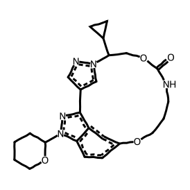 O=C1NCCCOc2ccc3c(c2)c(nn3C2CCCCO2)-c2cnn(c2)C(C2CC2)CO1